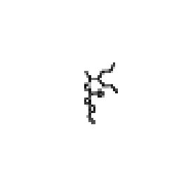 C=COOC(=O)OC(C)C(CCC)CCC